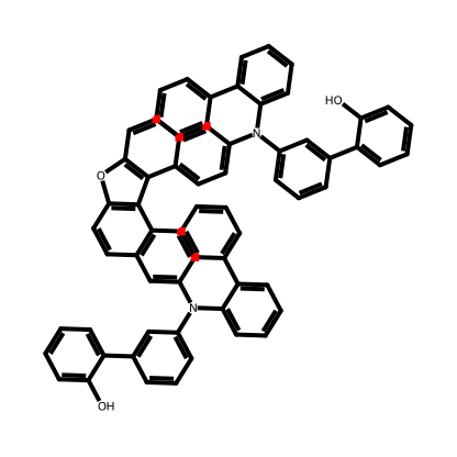 Oc1ccccc1-c1cccc(N(c2ccc3c(ccc4oc5ccc6cc(N(c7cccc(-c8ccccc8O)c7)c7ccccc7-c7ccccc7)ccc6c5c43)c2)c2ccccc2-c2ccccc2)c1